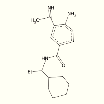 CCC(NC(=O)c1ccc(N)c(C(C)=N)c1)C1CCCCC1